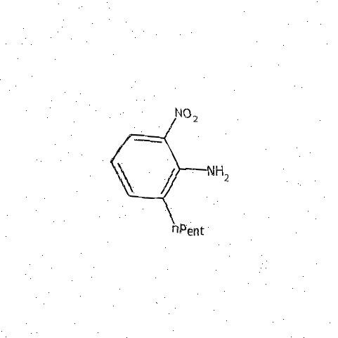 CCCCCc1cccc([N+](=O)[O-])c1N